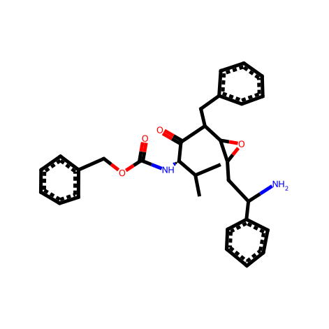 CC(C)[C@H](NC(=O)OCc1ccccc1)C(=O)C(Cc1ccccc1)C1OC1CC(N)c1ccccc1